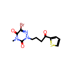 Cn1c(=O)c(Br)nn(CCCC(=O)c2cccs2)c1=O